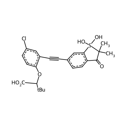 CC(C)(C)C(Oc1ccc(Cl)cc1C#Cc1ccc2c(c1)S(O)(O)C(C)(C)C2=O)C(=O)O